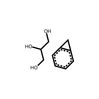 OCC(O)CO.c1ccc2c(c1)C2